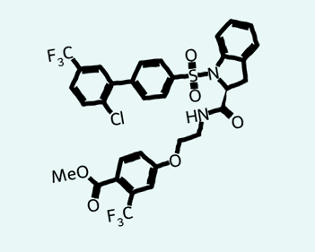 COC(=O)c1ccc(OCCNC(=O)[C@@H]2Cc3ccccc3N2S(=O)(=O)c2ccc(-c3cc(C(F)(F)F)ccc3Cl)cc2)cc1C(F)(F)F